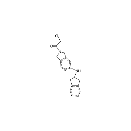 O=C(CCl)N1Cc2cnc(NC3Cc4ccccc4C3)nc2C1